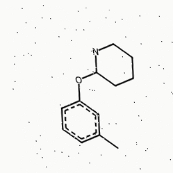 Cc1cccc(OC2CCCC[N]2)c1